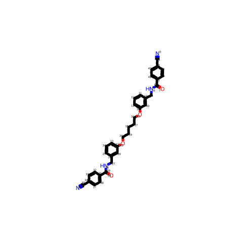 N#Cc1ccc(C(=O)NCc2cccc(OCCCCCOc3cccc(CNC(=O)c4ccc(C#N)cc4)c3)c2)cc1